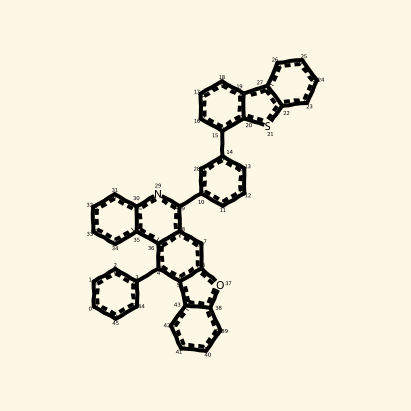 c1ccc(-c2c3c(cc4c(-c5cccc(-c6cccc7c6sc6ccccc67)c5)nc5ccccc5c24)oc2ccccc23)cc1